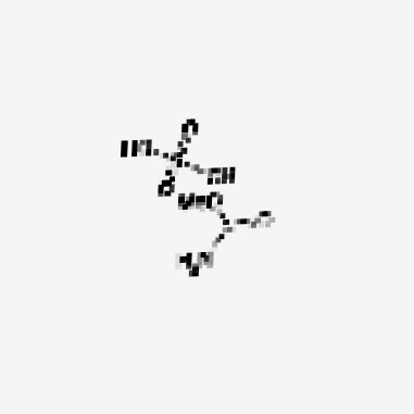 COC(N)=O.O=S(=O)(O)O